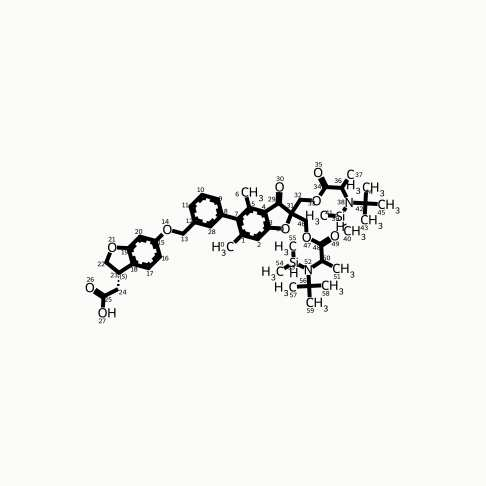 Cc1cc2c(c(C)c1-c1cccc(COc3ccc4c(c3)OC[C@H]4CC(=O)O)c1)C(=O)C(COC(=O)C(C)N([SiH](C)C)C(C)(C)C)(COC(=O)C(C)N([SiH](C)C)C(C)(C)C)O2